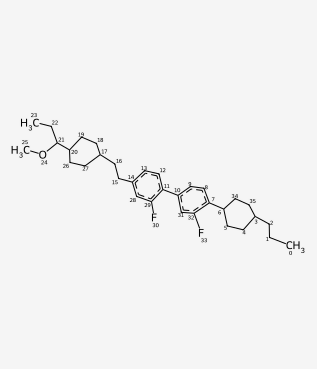 CCCC1CCC(c2ccc(-c3ccc(CCC4CCC(C(CC)OC)CC4)cc3F)cc2F)CC1